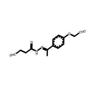 C/C(=N\NC(=O)CCC=O)c1ccc(OCC=O)cc1